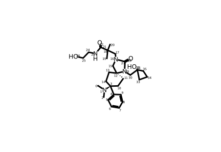 CN(C)[C@]1(c2ccccc2)CC[C@]2(CC1)CN(CC(C)(C)C(=O)NCCO)C(=O)N2CC1(O)CCC1